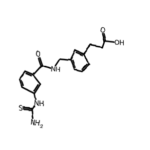 NC(=S)Nc1cccc(C(=O)NCc2cccc(CCC(=O)O)c2)c1